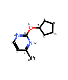 CC(C)c1ccnc(OC2CCCC2)n1